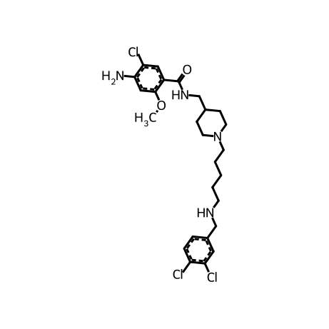 COc1cc(N)c(Cl)cc1C(=O)NCC1CCN(CCCCCNCc2ccc(Cl)c(Cl)c2)CC1